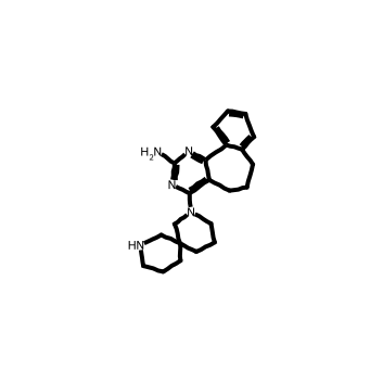 Nc1nc2c(c(N3CCCC4(CCCNC4)C3)n1)CCCc1ccccc1-2